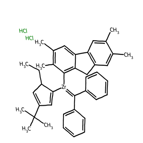 CCC1C=C(C(C)(C)C)C=[C]1[Zr](=[C](c1ccccc1)c1ccccc1)[c]1c(C)c(C)cc2c1Cc1cc(C)c(C)cc1-2.Cl.Cl